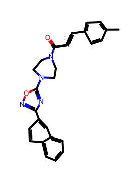 Cc1ccc(/C=C/C(=O)N2CCN(c3nc(-c4ccc5ccccc5c4)no3)CC2)cc1